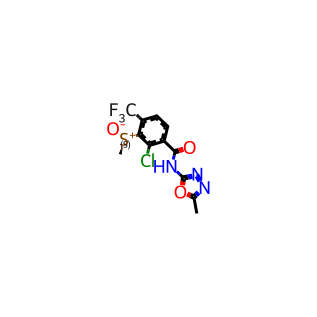 Cc1nnc(NC(=O)c2ccc(C(F)(F)F)c([S@@+](C)[O-])c2Cl)o1